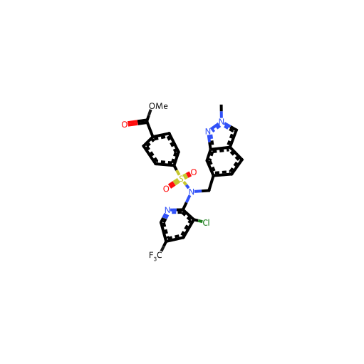 COC(=O)c1ccc(S(=O)(=O)N(Cc2ccc3cn(C)nc3c2)c2ncc(C(F)(F)F)cc2Cl)cc1